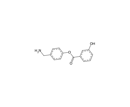 NCc1ccc(OC(=O)c2cccc(O)c2)cc1